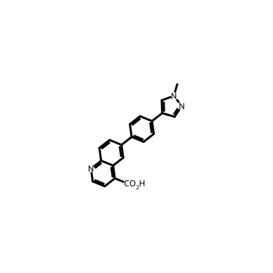 Cn1cc(-c2ccc(-c3ccc4nccc(C(=O)O)c4c3)cc2)cn1